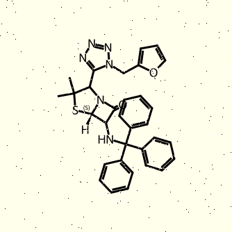 CC1(C)S[C@H]2C(NC(c3ccccc3)(c3ccccc3)c3ccccc3)C(=O)N2C1c1nnnn1Cc1ccco1